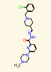 CN1CCN(c2cccc(C(=O)N/N=C/C3CCN(Cc4ccccc4Cl)CC3)n2)CC1